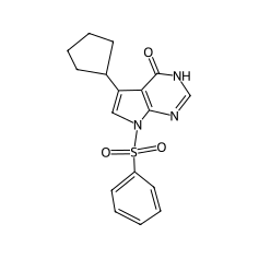 O=c1[nH]cnc2c1c(C1CCCC1)cn2S(=O)(=O)c1ccccc1